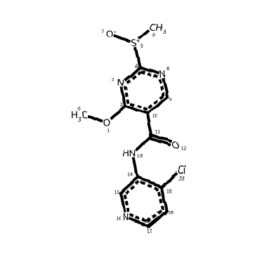 COc1nc([S+](C)[O-])ncc1C(=O)Nc1cnccc1Cl